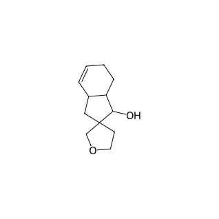 OC1C2CCC=CC2CC12CCOC2